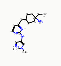 CN(C)/C=C(\C=N)Nc1nccc(CC2CCC(N)(CC#N)CC2)n1